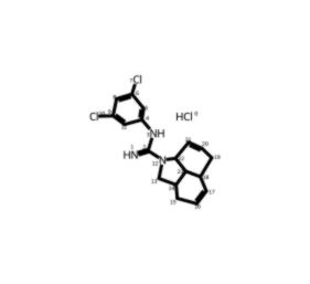 Cl.N=C(Nc1cc(Cl)cc(Cl)c1)N1CC2CC=CC3CC=CC1C32